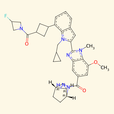 COc1cc(C(=O)N2C[C@H]3CC[C@@H]2[C@@H]3N)cc2nc(-c3cc4cccc(C5CC(C(=O)N6CC(F)C6)C5)c4n3CC3CC3)n(C)c12